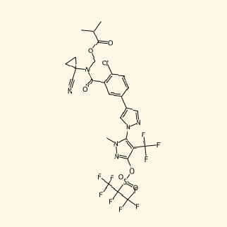 CC(C)C(=O)OCN(C(=O)c1cc(-c2cnn(-c3c(C(F)(F)F)c(OS(=O)(=O)C(F)(C(F)(F)F)C(F)(F)F)nn3C)c2)ccc1Cl)C1(C#N)CC1